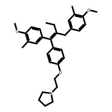 CC/C(Cc1ccc(OC)c(C)c1)=C(/c1ccc(OCCN2CCCC2)cc1)c1ccc(OC)c(C)c1